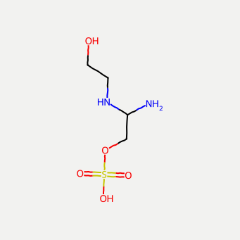 NC(COS(=O)(=O)O)NCCO